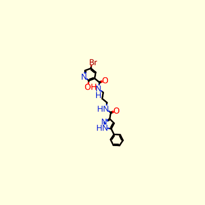 O=C(NCCCNC(=O)c1cc(Br)cnc1O)c1cc(-c2ccccc2)[nH]n1